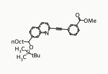 CCCCCCCCC(O[Si](C)(C)C(C)(C)C)c1ccc2ccc(C#Cc3cccc(C(=O)OC)c3)nc2c1